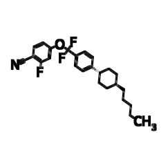 CCCCC[C@H]1CC[C@H](c2ccc(C(F)(F)Oc3ccc(C#N)c(F)c3)cc2)CC1